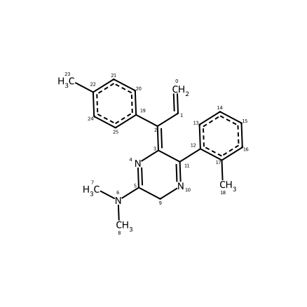 C=C/C(=C1/N=C(N(C)C)CN=C1c1ccccc1C)c1ccc(C)cc1